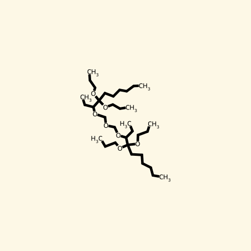 CCCCCCC(OCCC)(OCCC)C(CC)OCOCOC(CC)C(CCCCCC)(OCCC)OCCC